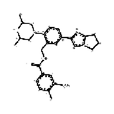 COc1cc(C(=O)NCc2cc(-c3cn4c(n3)CCC4)ccc2N2CC(C)OC(C)C2)ccc1C